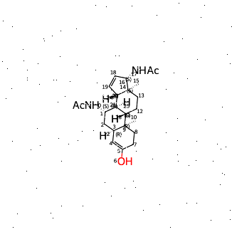 CC(=O)N[C@H]1C[C@@H]2C=C(O)CC[C@]2(C)[C@H]2CC[C@]3(C)[C@@H](NC(C)=O)C=C[C@H]3[C@H]12